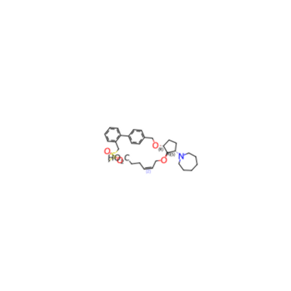 CS(=O)(=O)Cc1ccccc1-c1ccc(CO[C@@H]2CC[C@H](N3CCCCCC3)[C@H]2OC/C=C\CCC(=O)O)cc1